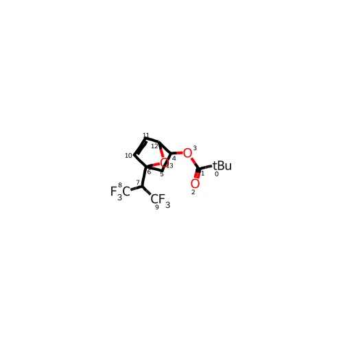 CC(C)(C)C(=O)OC1CC2(C(C(F)(F)F)C(F)(F)F)C=CC1O2